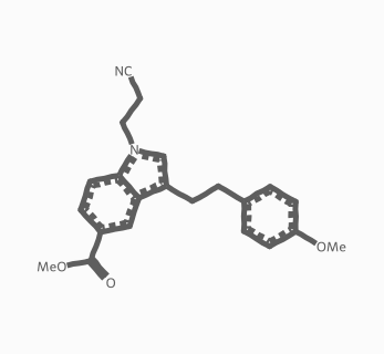 COC(=O)c1ccc2c(c1)c(CCc1ccc(OC)cc1)cn2CCC#N